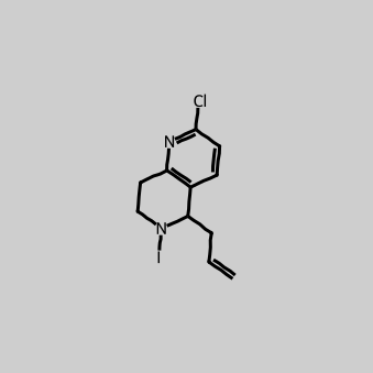 C=CCC1c2ccc(Cl)nc2CCN1I